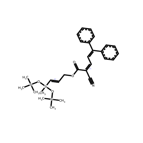 C[Si](C)(C)O[Si](C)(/C=C/COC(=O)/C(C#N)=C\C=C(c1ccccc1)c1ccccc1)O[Si](C)(C)C